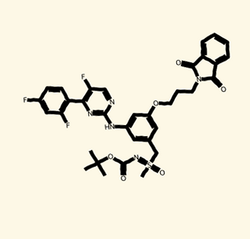 CC(C)(C)OC(=O)N=S(C)(=O)Cc1cc(Nc2ncc(F)c(-c3ccc(F)cc3F)n2)cc(OCCCN2C(=O)c3ccccc3C2=O)c1